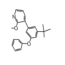 COc1ncccc1-c1cc(Oc2ccccc2)cc(C(C)(C)C)c1